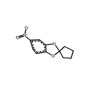 O=[N+]([O-])c1ccc2c(c1)OC1(CCCC1)O2